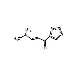 CN(C)/C=C/C(=O)c1cncs1